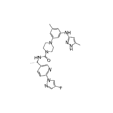 Cc1cc(Nc2cc(C)[nH]n2)cc(N2CCN(C(=O)N[C@@H](C)c3ccc(-n4cc(F)cn4)nc3)CC2)c1